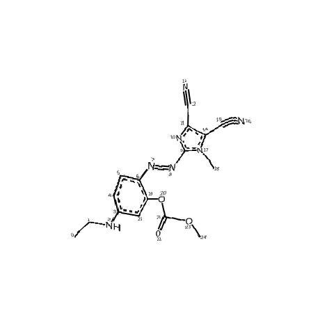 CCNc1ccc(/N=N/c2nc(C#N)c(C#N)n2C)c(OC(=O)OC)c1